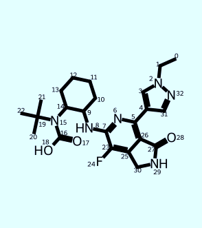 CCn1cc(-c2nc(NC3CCCCC3N(C(=O)O)C(C)(C)C)c(F)c3c2C(=O)NC3)cn1